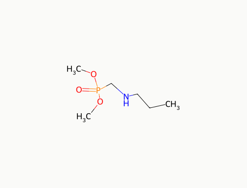 CCCNCP(=O)(OC)OC